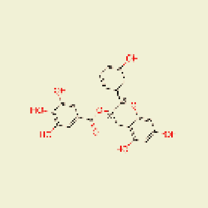 O=C(O[C@@H]1Cc2c(O)cc(O)cc2O[C@@H]1C1C=CC=C(O)C1)c1cc(O)c(O)c(O)c1